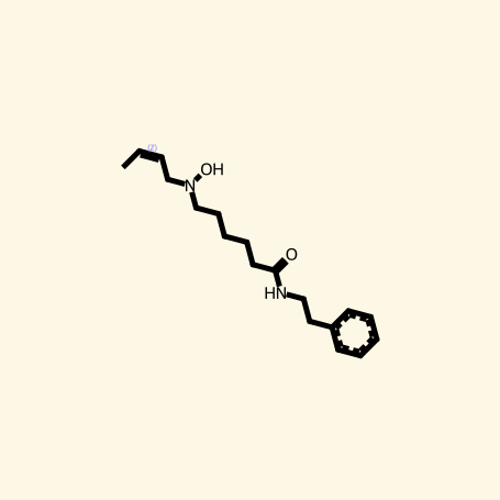 C/C=C\CN(O)CCCCCC(=O)NCCc1ccccc1